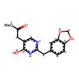 COC(=O)Cc1cnc(Cc2ccc3c(c2)OCO3)nc1O